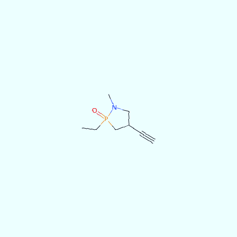 C#CC1CN(C)P(=O)(CC)C1